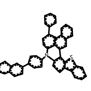 c1ccc(-c2ccc(N(c3ccc(-c4ccc5ccccc5c4)cc3)c3ccc4c(sc5ccccc54)c3-c3ccc4ccccc4c3)cc2)cc1